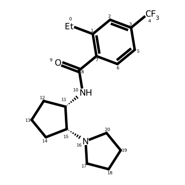 CCc1cc(C(F)(F)F)ccc1C(=O)N[C@H]1CCC[C@H]1N1CCCC1